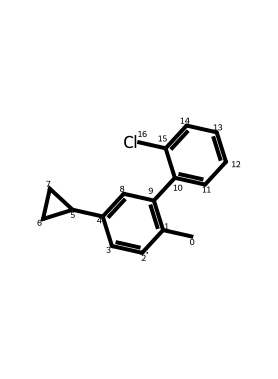 Cc1[c]cc(C2CC2)cc1-c1ccccc1Cl